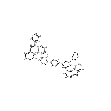 c1ccc(-c2cc(-c3ccc(-c4cccc5c4sc4ccc6c(-c7ccccc7)nc7ccccc7c6c45)cc3)nc(-c3cccc4sc5ccccc5c34)n2)cc1